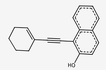 Oc1ccc2ccccc2c1C#CC1=CCCCC1